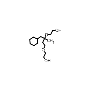 CC(CCOCCO)(CC1CCCCC1)OCCO